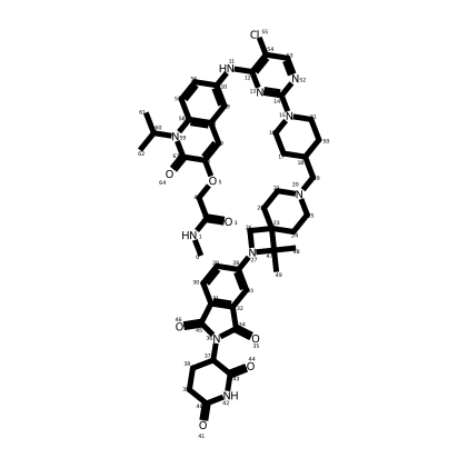 CNC(=O)COc1cc2cc(Nc3nc(N4CCC(CN5CCC6(CC5)CN(c5ccc7c(c5)C(=O)N(C5CCC(=O)NC5=O)C7=O)C6(C)C)CC4)ncc3Cl)ccc2n(C(C)C)c1=O